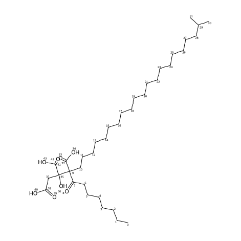 CCCCCCCC(=O)C(CCCCCCCCCCCCCCCCCCCC(C)C)(C(=O)O)C(O)(CC(=O)O)C(=O)O